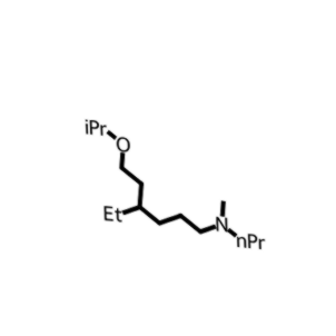 CCCN(C)CCCC(CC)CCOC(C)C